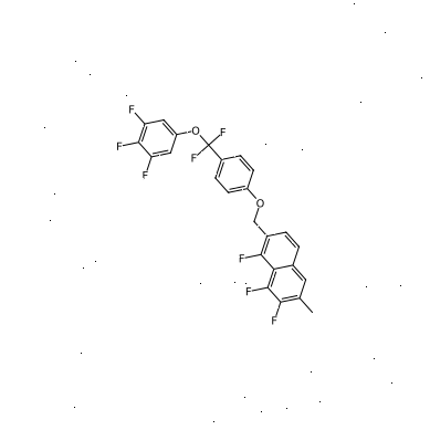 Cc1cc2ccc(COc3ccc(C(F)(F)Oc4cc(F)c(F)c(F)c4)cc3)c(F)c2c(F)c1F